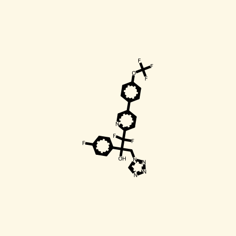 OC(Cn1cnnn1)(c1ccc(F)cc1)C(F)(F)c1ccc(-c2ccc(OC(F)(F)F)cc2)cn1